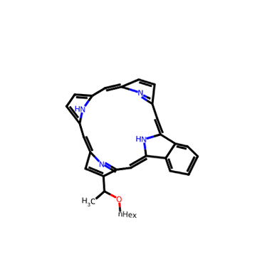 CCCCCCOC(C)C1=Cc2cc3ccc(cc4nc(cc5[nH]c(cc1n2)c1ccccc51)C=C4)[nH]3